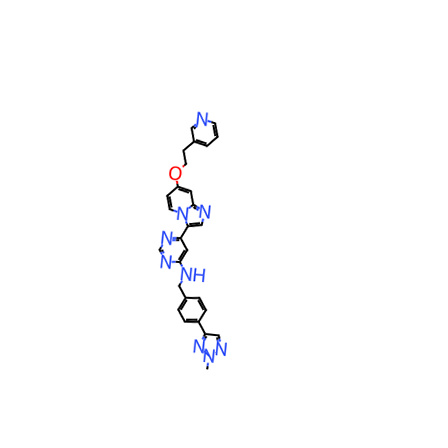 Cn1ncc(-c2ccc(CNc3cc(-c4cnc5cc(OCCc6cccnc6)ccn45)ncn3)cc2)n1